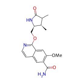 COc1cc2c(OC[C@H]3NC(=O)C(C)[C@H]3C)nccc2cc1C(N)=O